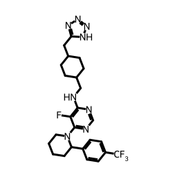 Fc1c(NCC2CCC(Cc3nnn[nH]3)CC2)ncnc1N1CCCCC1c1ccc(C(F)(F)F)cc1